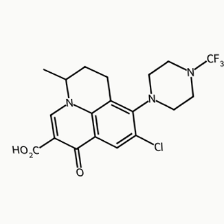 CC1CCc2c(N3CCN(C(F)(F)F)CC3)c(Cl)cc3c(=O)c(C(=O)O)cn1c23